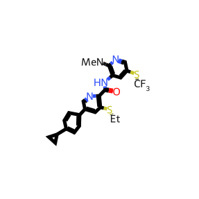 CCSc1cc(-c2ccc(C3CC3)cc2)cnc1C(=O)Nc1cc(SC(F)(F)F)cnc1NC